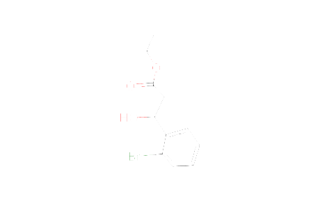 CCOC(=O)CC(O)c1ccccc1Br